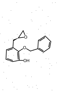 Oc1cccc(C[C@H]2CO2)c1OCc1ccccc1